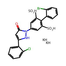 O=c1cc(-c2ccccc2Cl)[nH]n1-c1cc(S(=O)(=O)O)c(-c2ccccc2Br)c(S(=O)(=O)O)c1.[KH].[KH]